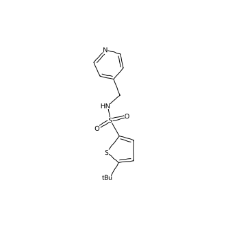 CC(C)(C)c1ccc(S(=O)(=O)NCc2ccncc2)s1